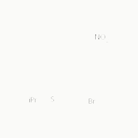 CC(C)Sc1ccc([N+](=O)[O-])cc1Br